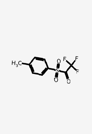 Cc1ccc(S(=O)(=O)C(=O)C(F)(F)F)cc1